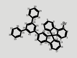 Brc1cccc2c1-c1ccccc1C21c2ccccc2-c2ccc(-c3cc(-c4ccccc4)cc(-c4ccccc4)c3)cc21